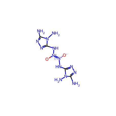 Nc1nnc(N/[N+]([O-])=[N+](\[O-])Nc2nnc(N)n2N)n1N